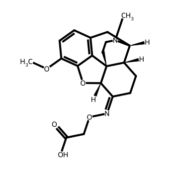 COc1ccc2c3c1O[C@H]1/C(=N\OCC(=O)O)CC[C@H]4[C@@H](C2)N(C)CC[C@]314